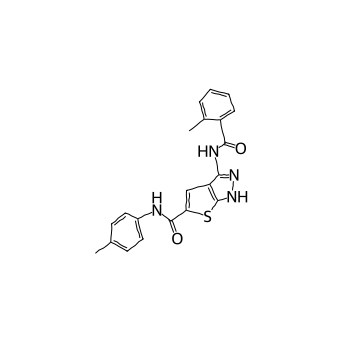 Cc1ccc(NC(=O)c2cc3c(NC(=O)c4ccccc4C)n[nH]c3s2)cc1